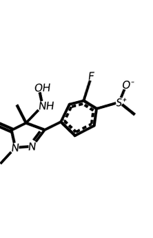 CN1N=C(c2ccc([S+](C)[O-])c(F)c2)C(C)(NO)C1=O